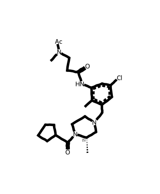 CC(=O)N(C)CCC(=O)Nc1cc(Cl)cc(CN2CCN(C(=O)C3CCCC3)[C@@H](C)C2)c1C